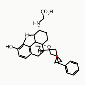 O=C(O)CN[C@@H]1CC[C@@]2(OCCCc3ccccc3)C3Cc4ccc(O)c5c4[C@@]2(CCN3CC2CC2)[C@H]1O5